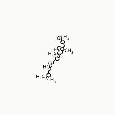 COc1cc(/C=C/C(O)=C/C(=O)/C=C/c2ccc(OC(=O)CC3=C(C)/C(=C/c4ccc([S+](C)[O-])cc4)c4ccc(F)cc43)c(OC)c2)ccc1C